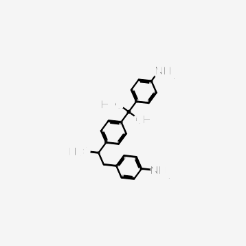 CC(Cc1ccc(N)cc1)c1ccc(C(C)(C)c2ccc(N)cc2)cc1